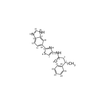 CC(CC(=O)Nc1csc(-c2ccc3nc[nH]c3c2)n1)c1ccccc1